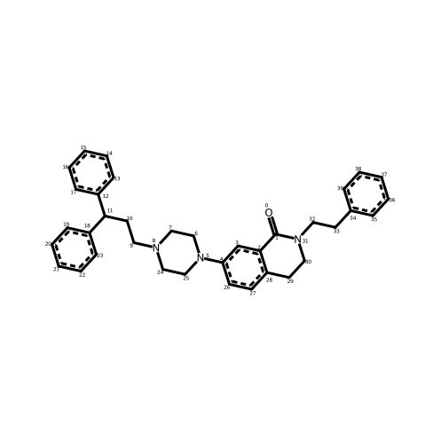 O=C1c2cc(N3CCN(CCC(c4ccccc4)c4ccccc4)CC3)ccc2CCN1CCc1ccccc1